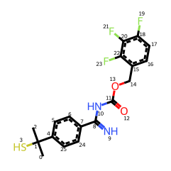 CC(C)(S)c1ccc(C(=N)NC(=O)OCc2ccc(F)c(F)c2F)cc1